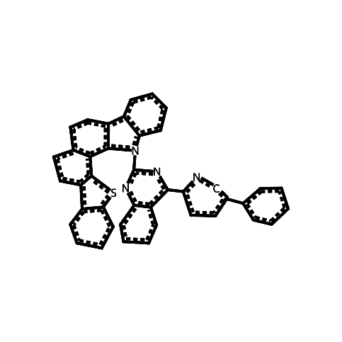 c1ccc(-c2ccc(-c3nc(-n4c5ccccc5c5ccc6ccc7c8ccccc8sc7c6c54)nc4ccccc34)nc2)cc1